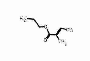 CCCOC(=O)C(C)=CO